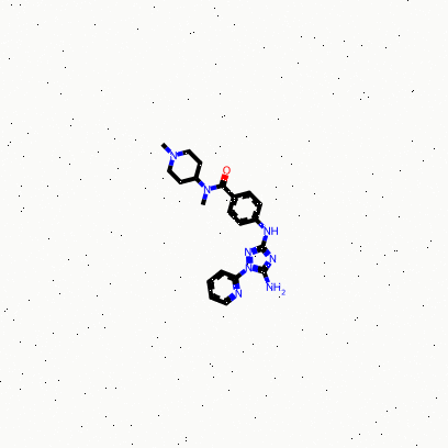 CN1CCC(N(C)C(=O)c2ccc(Nc3nc(N)n(-c4ccccn4)n3)cc2)CC1